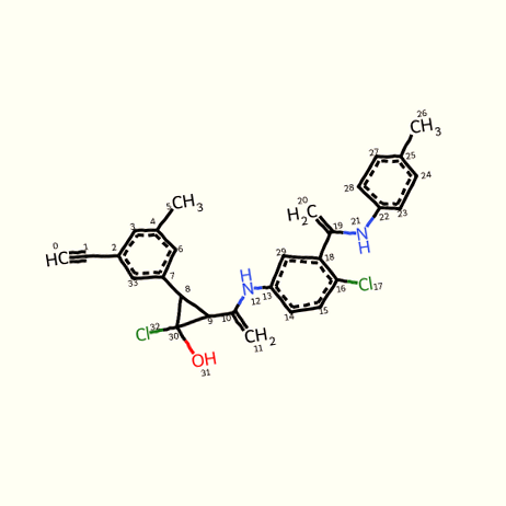 C#Cc1cc(C)cc(C2C(C(=C)Nc3ccc(Cl)c(C(=C)Nc4ccc(C)cc4)c3)C2(O)Cl)c1